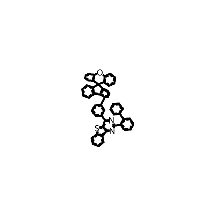 C1=CC2Oc3ccccc3C3(c4ccccc4-c4c(-c5cccc(-c6nc(-c7ccccc7-c7ccccc7)nc7c6sc6ccccc67)c5)cccc43)C2C=C1